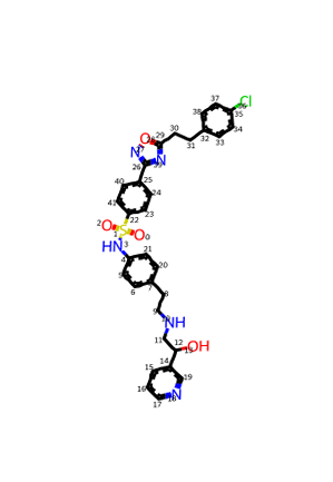 O=S(=O)(Nc1ccc(CCNCC(O)c2cccnc2)cc1)c1ccc(-c2noc(CCc3ccc(Cl)cc3)n2)cc1